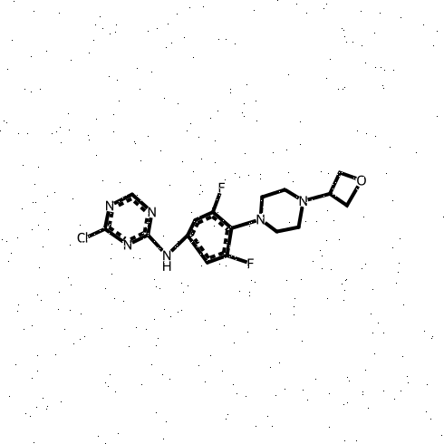 Fc1cc(Nc2ncnc(Cl)n2)cc(F)c1N1CCN(C2COC2)CC1